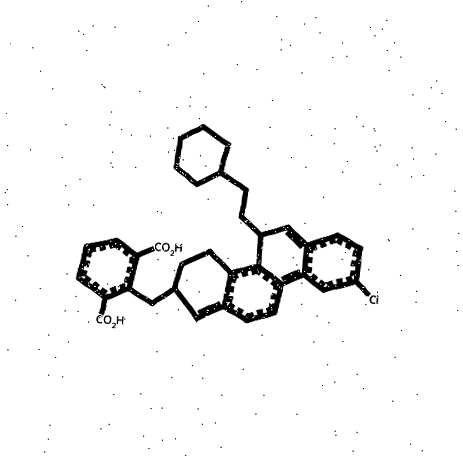 O=C(O)c1cccc(C(=O)O)c1CC1C=c2ccc3c(c2CC1)C(CCC1CCCCC1)C=c1ccc(Cl)cc1=3